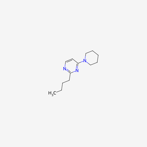 CCCCc1nccc(N2CCCCC2)n1